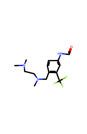 CN(C)CCN(C)Cc1ccc(NC=O)cc1C(F)(F)F